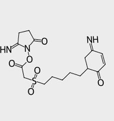 N=C1C=CC(=O)C(CCCCCS(=O)(=O)CC(=O)ON2C(=N)CCC2=O)C1